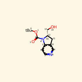 CC(C)(C)OC(=O)N1c2ccncc2C[C@H]1CO